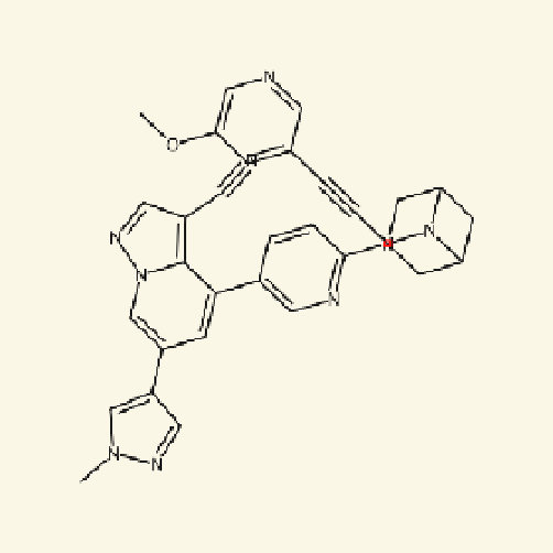 COc1cncc(C#CCN2C3CC2CN(c2ccc(-c4cc(-c5cnn(C)c5)cn5ncc(C#N)c45)cn2)C3)c1